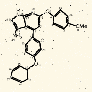 COc1ccc(Oc2cc(-c3ccc(OC4C=CC=CC4)cc3)c3c(N)n[nH]c3n2)cc1